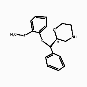 CSc1ccccc1SC(c1ccccc1)[C@@H]1CNCCO1